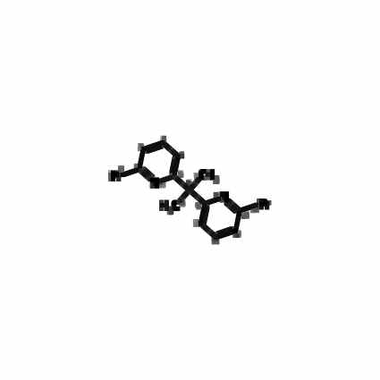 CC(C)c1cccc(C(C)(C)c2cccc(C(C)C)n2)n1